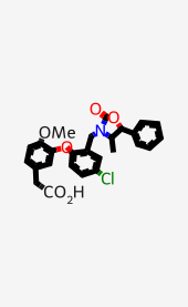 COc1ccc(CC(=O)O)cc1Oc1ccc(Cl)cc1CN1C(=O)OC(c2ccccc2)C1C